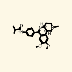 COc1cc2c(cc1OC)[C@H]1CN(C)CC[C@H]1N=C2c1ccc(NC(=O)C(C)C)cc1